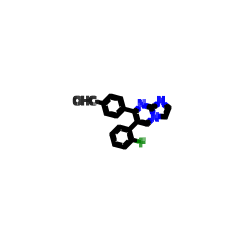 O=Cc1ccc(-c2nc3nccn3cc2-c2ccccc2F)cc1